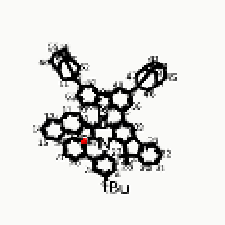 CC(C)(C)c1ccc(N2c3sc4c(ccc5ccccc54)c3B3c4c(cc5c(c42)C(C)(C)c2ccccc2-5)-c2cc(C45CC6CC(CC(C6)C4)C5)cc4c5cc(C67CC8CC(CC(C8)C6)C7)ccc5n3c24)c(-c2ccccc2)c1